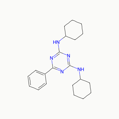 c1ccc(-c2nc(NC3CCCCC3)nc(NC3CCCCC3)n2)cc1